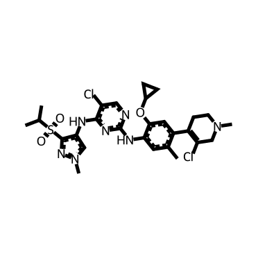 Cc1cc(Nc2ncc(Cl)c(Nc3cn(C)nc3S(=O)(=O)C(C)C)n2)c(OC2CC2)cc1C1=C(Cl)CN(C)CC1